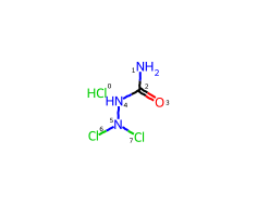 Cl.NC(=O)NN(Cl)Cl